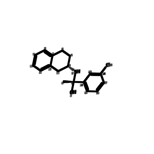 C[C@@](O)(N[C@H]1CCc2cc[c]cc2C1)c1cccc(Cl)c1